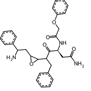 NC(=O)C[C@H](NC(=O)COc1ccccc1)C(=O)C(Cc1ccccc1)C1OC1CC(N)c1ccccc1